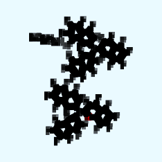 Fc1c(F)c(F)c2c(F)c(B(c3c(F)c(F)c4c(F)c(F)c(F)c(F)c4c3F)c3c(F)c(F)c4c(F)c(F)c(F)c(F)c4c3F)c(F)c(F)c2c1F.Fc1c(F)c(F)c2c(F)c(B(c3c(F)c(F)c4c(F)c(F)c(F)c(F)c4c3F)c3c(F)c(F)c4c(F)c(F)c(F)c(F)c4c3F)c(F)c(F)c2c1F.N#CN.N#CN